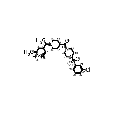 C=C(N)/C=C(\C=C/N)C(C)N1CCC(C(=O)N2CCN(S(=O)(=O)c3cccc(Cl)c3)CC2)CC1